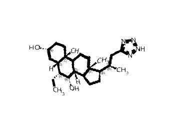 CC[C@H]1[C@@H](O)[C@H]2C3CC[C@H]([C@H](C)Cc4nn[nH]n4)[C@@]3(C)CCC2[C@@]2(C)CC[C@@H](O)C[C@@H]12